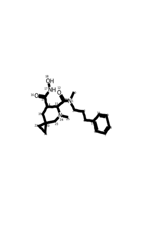 CN(CCCc1ccccc1)C(=O)C1C(C(=O)NO)CC2(CC2)CN1C